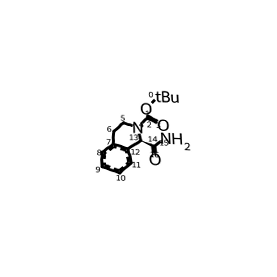 CC(C)(C)OC(=O)N1CCc2ccccc2[C@@H]1C(N)=O